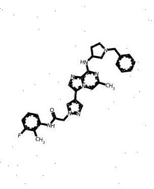 Cc1cn2c(-c3cnn(CC(=O)Nc4cccc(F)c4C)c3)cnc2c(NC2CCN(Cc3ccccc3)C2)n1